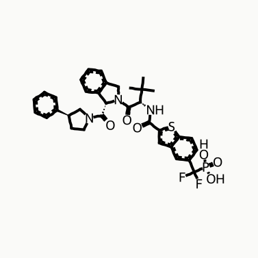 CC(C)(C)[C@H](NC(=O)c1cc2cc(C(F)(F)P(=O)(O)O)ccc2s1)C(=O)N1Cc2ccccc2[C@H]1C(=O)N1CC[C@@H](c2ccccc2)C1